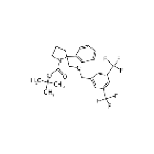 CC(C)(C)OC(=O)N1CCCC1(COCc1cc(C(F)(F)F)cc(C(F)(F)F)c1)c1ccccc1